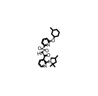 CC1CCCC(Oc2cccc(S(=O)(=O)NC(=O)c3cccnc3N3CC(C)CC3(C)C)n2)C1